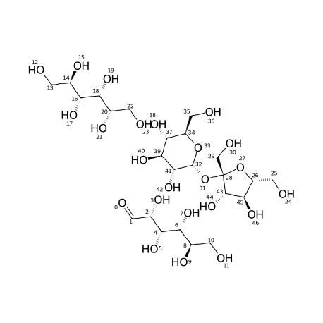 O=C[C@H](O)[C@@H](O)[C@H](O)[C@H](O)CO.OC[C@@H](O)[C@@H](O)[C@H](O)[C@@H](O)CO.OC[C@H]1O[C@@](CO)(O[C@H]2O[C@H](CO)[C@@H](O)[C@H](O)[C@H]2O)[C@@H](O)[C@@H]1O